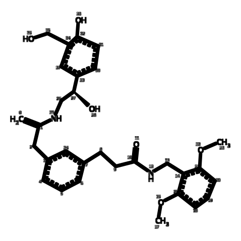 C=C(Cc1cccc(CCC(=O)NCc2c(OC)cccc2OC)c1)NC[C@H](O)c1ccc(O)c(CO)c1